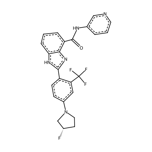 O=C(Nc1cccnc1)c1cccc2[nH]c(-c3ccc(N4CC[C@H](F)C4)cc3C(F)(F)F)nc12